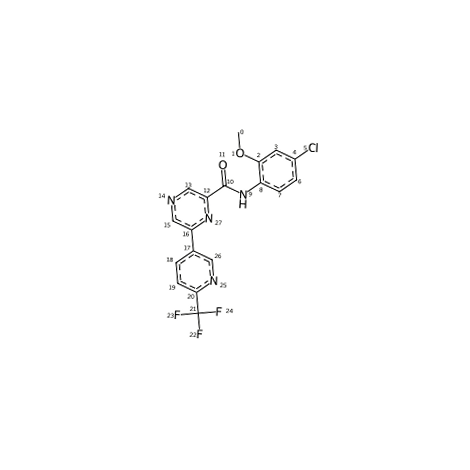 COc1cc(Cl)ccc1NC(=O)c1cncc(-c2ccc(C(F)(F)F)nc2)n1